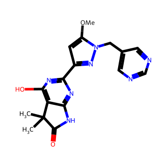 COc1cc(-c2nc(O)c3c(n2)NC(=O)C3(C)C)nn1Cc1cncnc1